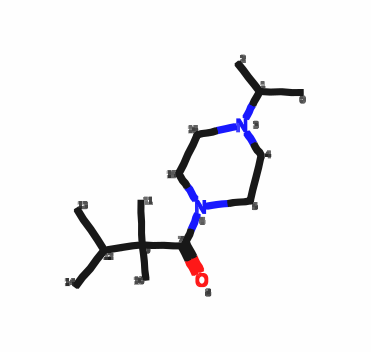 CC(C)N1CCN(C(=O)C(C)(C)C(C)C)CC1